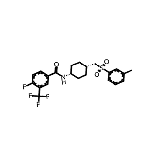 Cc1cccc(S(=O)(=O)C[C@H]2CC[C@@H](NC(=O)c3ccc(F)c(C(F)(F)F)c3)CC2)c1